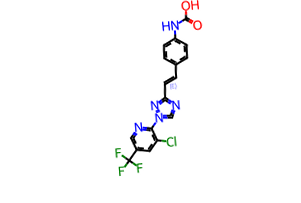 O=C(O)Nc1ccc(/C=C/c2ncn(-c3ncc(C(F)(F)F)cc3Cl)n2)cc1